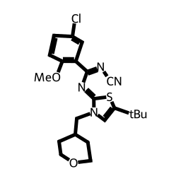 COc1ccc(Cl)cc1C(=NC#N)/N=c1\sc(C(C)(C)C)cn1CC1CCOCC1